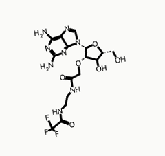 Nc1nc(N)c2ncn([C@@H]3O[C@H](CO)C(O)[C@@H]3OCC(=O)NCCNC(=O)C(F)(F)F)c2n1